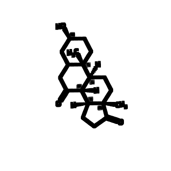 C[C@]12CC[C@H](O)CC1CC(=O)[C@@H]1[C@@H]2CC[C@]2(C)C(=O)CC[C@@H]12